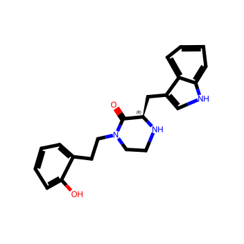 O=C1[C@@H](Cc2c[nH]c3ccccc23)NCCN1CCc1ccccc1O